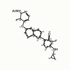 CC(=O)NC1N=CC=C(Oc2ccc3nc(-c4cnc(NC5CC5)n(C)c4=O)ccc3c2)C1C